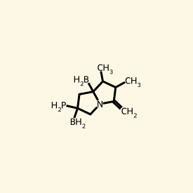 BC1(P)CN2C(=C)C(C)C(C)C2(B)C1